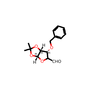 CC1(C)O[C@H]2OC(C=O)[C@@H](OCc3ccccc3)[C@H]2O1